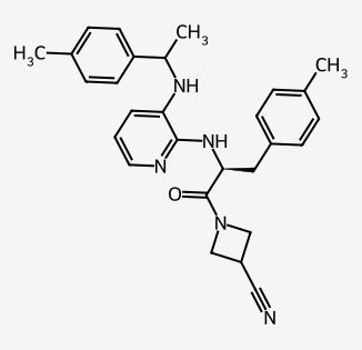 Cc1ccc(C[C@H](Nc2ncccc2NC(C)c2ccc(C)cc2)C(=O)N2CC(C#N)C2)cc1